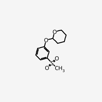 CS(=O)(=O)c1cccc(OC2CCCCO2)c1